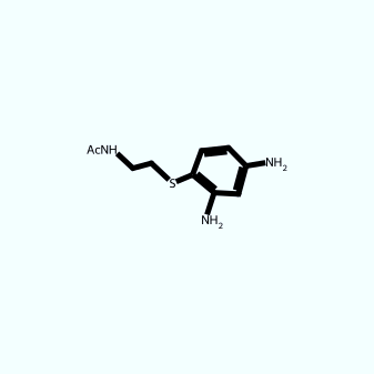 CC(=O)NCCSc1ccc(N)cc1N